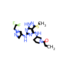 C=CC(=O)N1CCCC(Nc2nc(Nc3cnn(CC(F)F)c3)nc3[nH]nc(SC)c23)C1